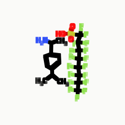 CC(C)c1ccc(C(C)N)cc1.O=S(=O)(O)C(F)(F)C(F)(F)C(F)(F)C(F)(F)C(F)(F)C(F)(F)C(F)(F)C(F)(F)F